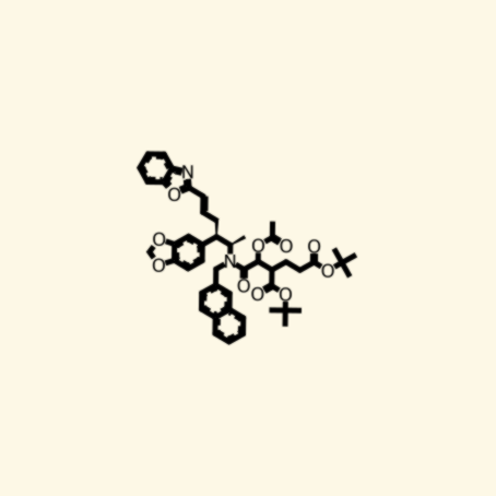 CC(=O)OC(C(=O)N(Cc1ccc2ccccc2c1)[C@H](C)[C@H](CC=Cc1nc2ccccc2o1)c1ccc2c(c1)OCO2)C(CCC(=O)OC(C)(C)C)C(=O)OC(C)(C)C